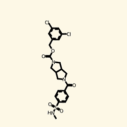 CNS(=O)(=O)c1ccc(C(=O)N2CC3CN(C(=O)OCc4cc(Cl)cc(Cl)c4)CC3C2)cc1